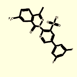 CCS(=O)(=O)c1cc(-c2cc(F)cc(F)c2)cnc1-n1nc(C)c2ccc(C(F)(F)F)cc2c1=O